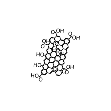 O=C(O)C1=CC2=c3cc(C(=O)O)cc4c3=C3C5C(=C4)C=c4cc6cc7c8c9c%10c%11c%12c%13c%14c%15c(cc(C(=O)O)cc%15c(O)c%13cc%13c(O)c%15cc%16c(C(=O)O)c%17ccc1c1c%17c%17c%16c%16c%15c(c%10c%10c(c4C5(O)C(C%16%10O)C%174OC21C34)c69)c%13%12)C=C1C2=C(C=8C%113OC1%143)C1(OC1C=C2)C7C(=O)O